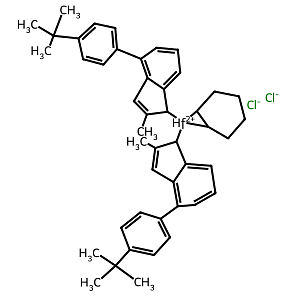 CC1=Cc2c(-c3ccc(C(C)(C)C)cc3)cccc2[CH]1[Hf+2]1([CH]2C(C)=Cc3c(-c4ccc(C(C)(C)C)cc4)cccc32)[CH]2CCCC[CH]21.[Cl-].[Cl-]